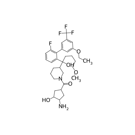 CCOc1cc(-c2c(F)cccc2C(O)(CCCCOC)C2CCCN(C(=O)C3CC(N)C(O)C3)C2)cc(C(F)(F)F)c1